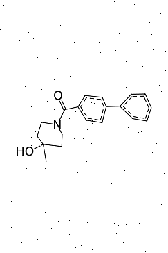 CC1(O)CCN(C(=O)c2ccc(-c3ccccc3)cc2)CC1